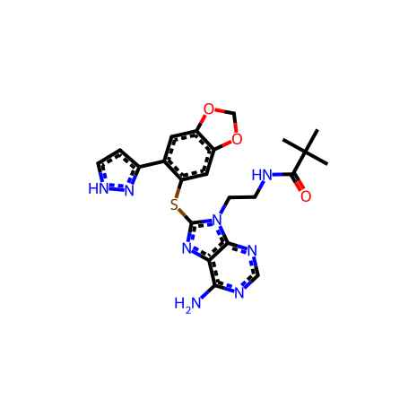 CC(C)(C)C(=O)NCCn1c(Sc2cc3c(cc2-c2cc[nH]n2)OCO3)nc2c(N)ncnc21